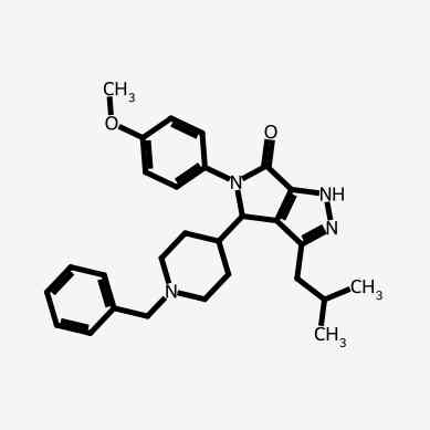 COc1ccc(N2C(=O)c3[nH]nc(CC(C)C)c3C2C2CCN(Cc3ccccc3)CC2)cc1